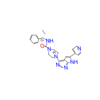 CC[C@H](NC(=O)N1CCN(c2ncnc3[nH]c(-c4ccncc4)cc23)C[C@H]1C)c1ccccc1